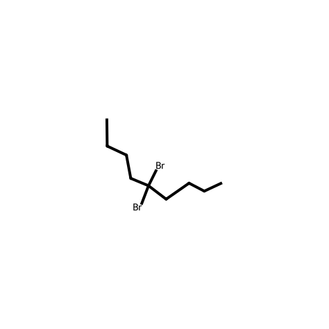 CCCCC(Br)(Br)CCCC